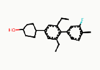 CCc1cc(C2CCC(O)CC2)cc(CC)c1-c1ccc(C)c(F)c1